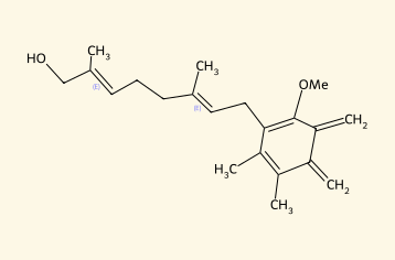 C=c1c(C)c(C)c(C/C=C(\C)CC/C=C(\C)CO)c(OC)c1=C